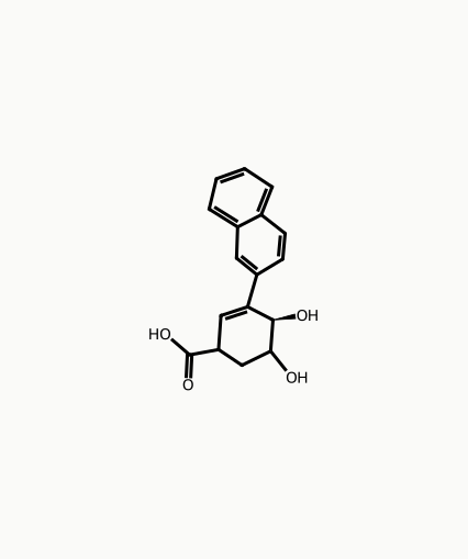 O=C(O)C1C=C(c2ccc3ccccc3c2)[C@@H](O)C(O)C1